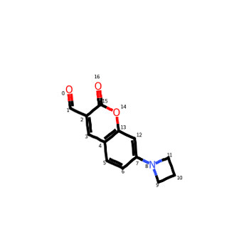 O=Cc1cc2ccc(N3CCC3)cc2oc1=O